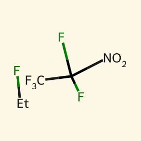 CCF.O=[N+]([O-])C(F)(F)C(F)(F)F